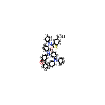 CC(C)(C)c1ccc2sc3c(c2c1)N(c1ccccc1)c1cccc2c1B3c1ccc(N(c3ccccc3)c3ccccc3)cc1N2c1ccc2oc3ccccc3c2c1